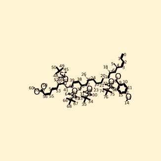 C=C/C=C\[C@H](C)[C@H](OCc1ccc(OC)cc1)[C@@H](C)[C@@H](CC[C@H](C)C[C@@H](C)[C@@H](O[Si](C)(C)C(C)(C)C)[C@@H](C)/C=C\[C@H](C[C@H](O[Si](C)(C)C(C)(C)C)[C@@H](C)/C=C/C=C\C(=O)OC)O[Si](C)(C)C(C)(C)C)O[Si](C)(C)C(C)(C)C